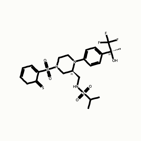 CC(C)S(=O)(=O)NC[C@H]1CN(S(=O)(=O)C2=CC=CCC2=S)CCN1c1ccc([C@](C)(O)C(F)(F)F)cc1